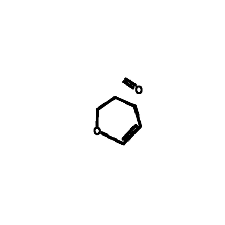 C1=COCCC1.C=O